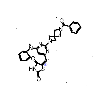 CN(c1ccccc1)c1cc(/C=C2/SC(=O)NC2=O)nc(N2CC3(CN(C(=O)c4ccccc4)C3)C2)n1